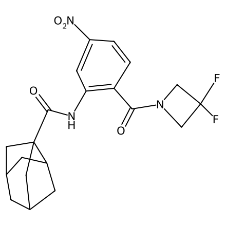 O=C(c1ccc([N+](=O)[O-])cc1NC(=O)C12CC3CC(CC1C3)C2)N1CC(F)(F)C1